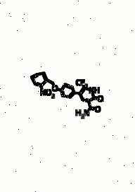 NC(=O)c1cc(-c2ccc(OCc3ccccc3[N+](=O)[O-])cc2)c(C(F)(F)F)[nH]c1=O